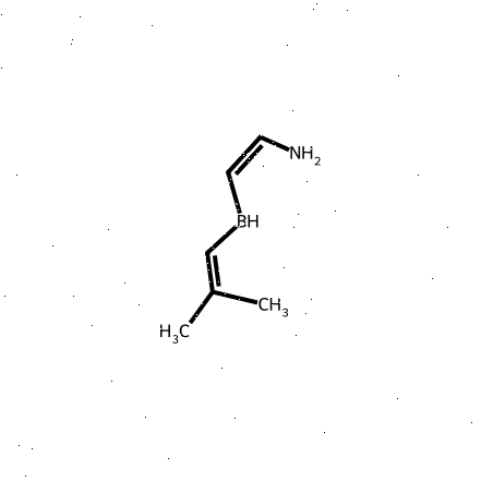 CC(C)=CB/C=C\N